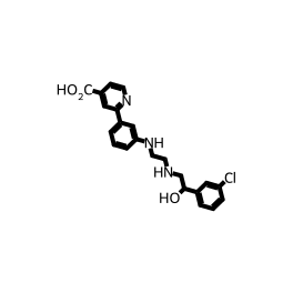 O=C(O)c1ccnc(-c2cccc(NCCNCC(O)c3cccc(Cl)c3)c2)c1